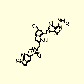 Nc1ncnc2c1ncn2Cc1cc(Cl)cc2cc(CNC(=O)c3cnc4[nH]ccc4c3)[nH]c12